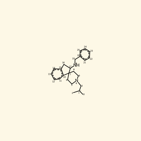 C[C](C)CN1CCC2(CC1)c1ccccc1CC2NCc1ccccc1